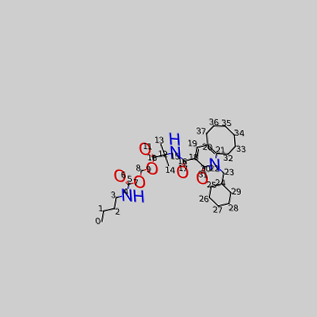 CCCCNC(=O)OCOC(=O)C(C)(C)NC(=O)c1cc2c(n(CC3CCCCC3)c1=O)CCCCCC2